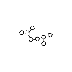 c1ccc(-c2nc(-c3ccccc3)nc(-c3cccc4c3oc3cc(-c5ccc(-c6ccccc6)c6oc7ccccc7c56)ccc34)n2)cc1